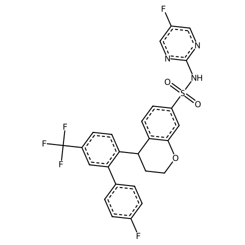 O=S(=O)(Nc1ncc(F)cn1)c1ccc2c(c1)OCCC2c1ccc(C(F)(F)F)cc1-c1ccc(F)cc1